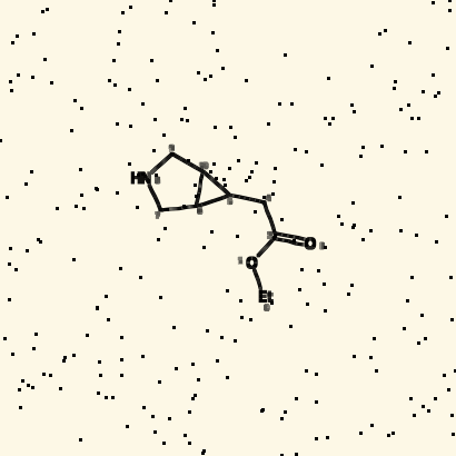 CCOC(=O)CC1C2CNCC21